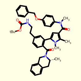 Cc1c(C(=O)N(C)c2ccc(OCc3ccccc3)cc2)cc(-c2cc(CCNC(=O)OC(C)(C)C)ccc2C(=O)N2Cc3ccccc3C[C@H]2C)n1C